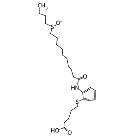 CCCC[S+]([O-])CCCCCCCCCC(=O)Nc1ccccc1SCCCCC(=O)O